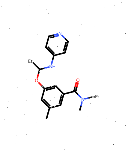 CCCN(C)C(=O)c1cc(C)cc(OC(CC)Nc2ccncc2)c1